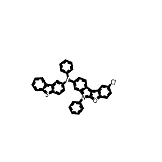 Clc1ccc2oc3c(c2c1)c1ccc(N(c2ccccc2)c2ccc4sc5ccccc5c4c2)cc1n3-c1ccccc1